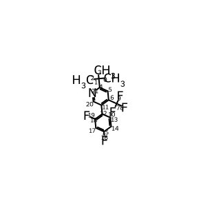 CC(C)(C)c1cc(C(F)(F)F)c(-c2ccc(F)cc2F)cn1